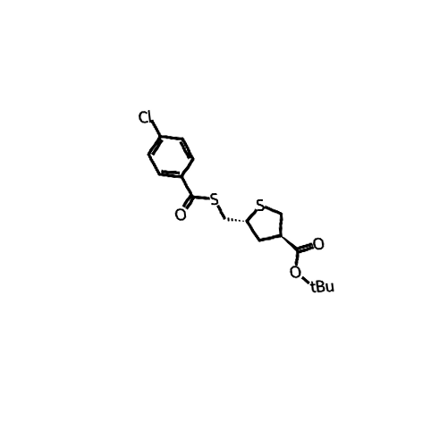 CC(C)(C)OC(=O)[C@@H]1CS[C@@H](CSC(=O)c2ccc(Cl)cc2)C1